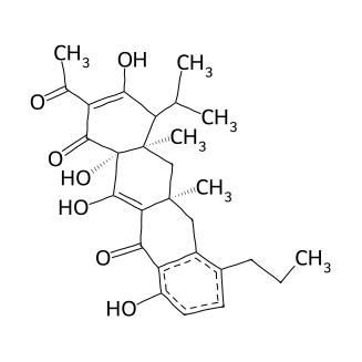 CCCc1ccc(O)c2c1C[C@]1(C)C[C@]3(C)C(C(C)C)C(O)=C(C(C)=O)C(=O)[C@]3(O)C(O)=C1C2=O